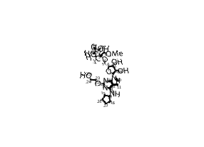 COCC(C)(OC[C@H]1O[C@@H](n2ncc3c(NC4CCCC4)nc(OCCO)nc32)[C@H](O)[C@@H]1O)P(=O)(O)O